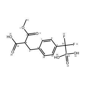 COC(=O)C(Cc1ccc(C(F)(F)P(=O)(O)O)cc1)C(=O)O